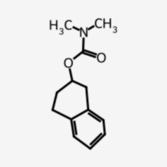 CN(C)C(=O)OC1CCc2ccccc2C1